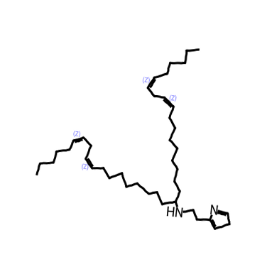 CCCCC/C=C\C/C=C\CCCCCCCCC(CCCCCCCC/C=C\C/C=C\CCCCC)NCCC1=CCC=N1